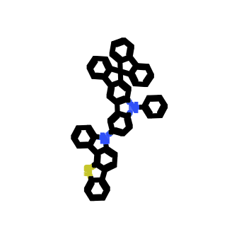 c1ccc(-n2c3ccc(-n4c5ccccc5c5c6sc7ccccc7c6ccc54)cc3c3cc4c(cc32)C2(c3ccccc3-c3ccccc32)c2ccccc2-4)cc1